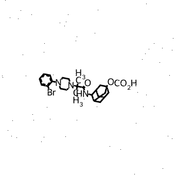 CC(C)(C(=O)NC1C2CC3CC1CC(OC(=O)O)(C3)C2)N1CCN(c2ccccc2Br)CC1